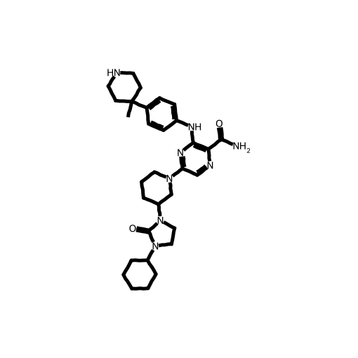 CC1(c2ccc(Nc3nc(N4CCCC(N5CCN(C6CCCCC6)C5=O)C4)cnc3C(N)=O)cc2)CCNCC1